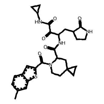 Cc1ccc2cc(C(=O)N3CCC4(CC4)CC3C(=O)NC(CC3CCNC3=O)C(=O)C(=O)NC3CC3)sc2c1